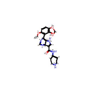 CCCOc1ccc2c(c1-c1ncnc3c(C(=O)NC4CCNCC4)c[nH]c13)OCO2